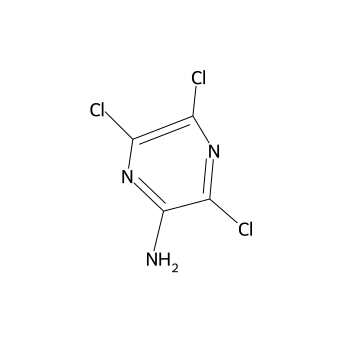 Nc1nc(Cl)c(Cl)nc1Cl